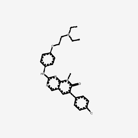 CCN(CC)CCOc1ccc(Nc2ncc3cc(-c4ccc(Cl)cc4)c(=O)n(C)c3n2)cc1